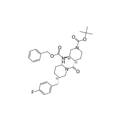 CC(C)(C)OC(=O)N1CC[C@H](C(=O)N2CCC[C@@H](Cc3ccc(F)cc3)C2)[C@@H](NC(=O)OCc2ccccc2)C1